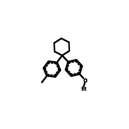 CCOc1ccc(C2(c3ccc(C)cc3)CCCCC2)cc1